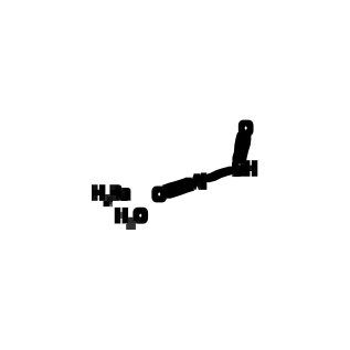 O.[BaH2].[O]=[Al][SiH]=O